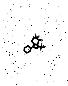 O=C1c2c(C(F)(F)F)cn(C3CCCCC3)c2CCC1(F)F